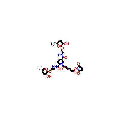 C[C@H]1CC[C@H](O)[C@H](OCCNC(=O)[C@@H]2CC[C@H](C(=O)NCCO[C@@H]3O[C@@H](C)CC[C@@H]3O)N(C(=O)CCCCC(=O)ON3C(=O)CCC3=O)C2)O1